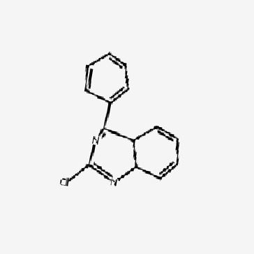 ClC1=NC2C=CC=CC2C(c2ccccc2)=N1